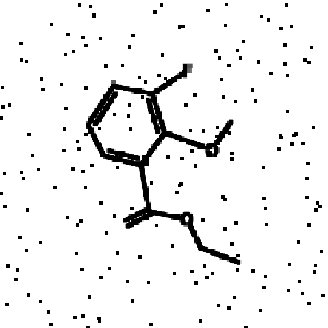 C=C(OCC)c1cc[c]c(F)c1OC